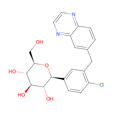 OC[C@H]1O[C@@H](c2ccc(Cl)c(Cc3ccc4nccnc4c3)c2)[C@H](O)[C@@H](O)[C@@H]1O